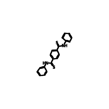 S=C(Nc1ccccc1)c1ccc(C(=S)Nc2ccccc2)cc1